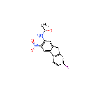 CC(=O)Nc1cc2c(cc1[N+](=O)[O-])-c1ccc(I)cc1C2